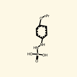 CCCOc1ccc(NNP(=O)(O)O)cc1